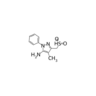 Cc1c(C[SH](=O)=O)nn(-c2ccccc2)c1N